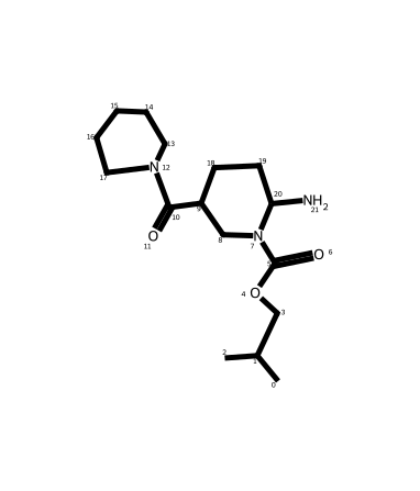 CC(C)COC(=O)N1CC(C(=O)N2CCCCC2)CCC1N